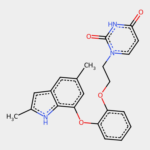 Cc1cc(Oc2ccccc2OCCn2ccc(=O)[nH]c2=O)c2[nH]c(C)cc2c1